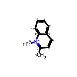 CCC[n+]1c(C)ccc2ccccc21